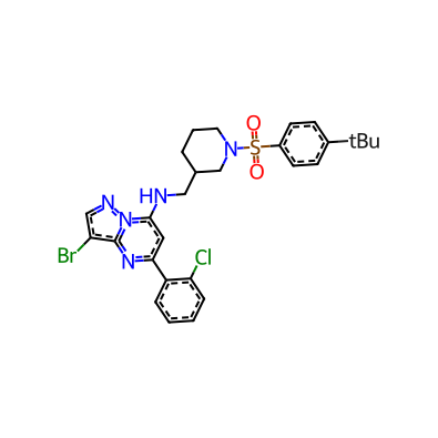 CC(C)(C)c1ccc(S(=O)(=O)N2CCCC(CNc3cc(-c4ccccc4Cl)nc4c(Br)cnn34)C2)cc1